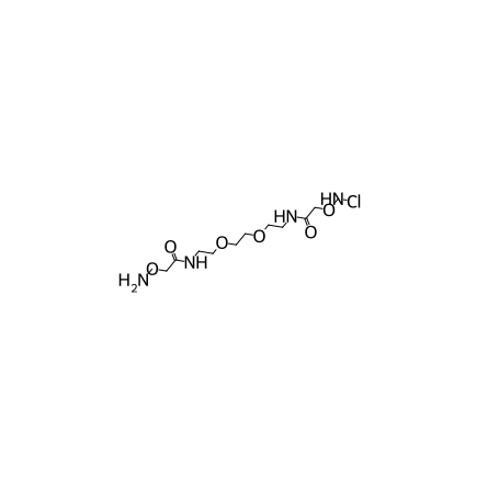 NOCC(=O)NCCOCCOCCNC(=O)CONCl